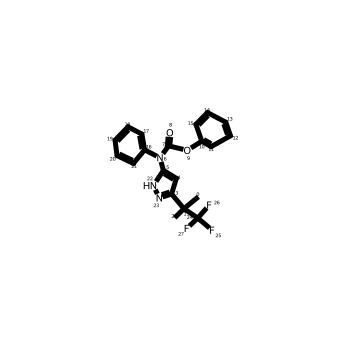 CC(C)(c1cc(N(C(=O)Oc2ccccc2)c2ccccc2)[nH]n1)C(F)(F)F